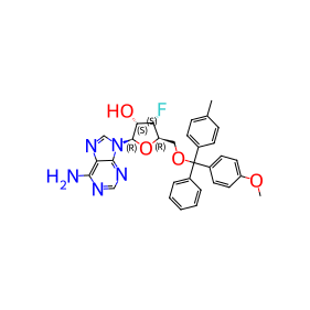 COc1ccc(C(OC[C@H]2O[C@@H](n3cnc4c(N)ncnc43)[C@H](O)[C@@H]2F)(c2ccccc2)c2ccc(C)cc2)cc1